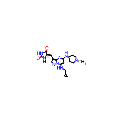 CN1CCC(Nc2cc(NCC3CC3)n3ncc(/C=C4\NC(=O)NC4=O)c3n2)CC1